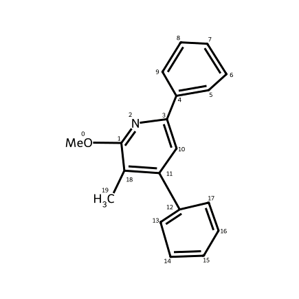 COc1nc(-c2ccccc2)cc(-c2ccccc2)c1C